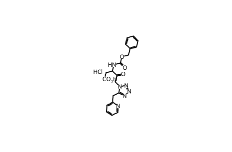 Cl.O=C(O)CC(NC(=O)OCc1ccccc1)C(=O)Cn1nnnc1Cc1ccccn1